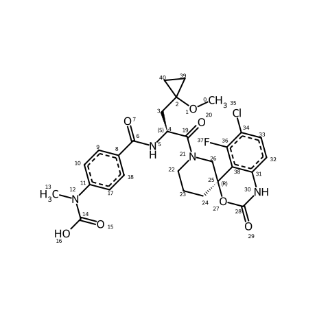 COC1(C[C@H](NC(=O)c2ccc(N(C)C(=O)O)cc2)C(=O)N2CCC[C@@]3(C2)OC(=O)Nc2ccc(Cl)c(F)c23)CC1